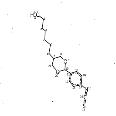 CCCCCCCC1COC(c2ccc(N=C=S)cc2)OC1